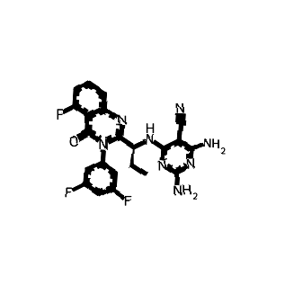 CC[C@H](Nc1nc(N)nc(N)c1C#N)c1nc2cccc(F)c2c(=O)n1-c1cc(F)cc(F)c1